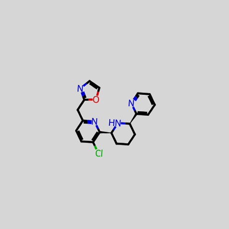 Clc1ccc(Cc2ncco2)nc1[C@@H]1CCC[C@H](c2ccccn2)N1